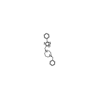 c1ccc(CN2CCCN(Cc3nc(-c4ccccc4)no3)CC2)cc1